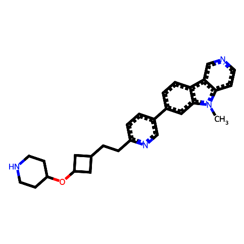 Cn1c2ccncc2c2ccc(-c3ccc(CCC4CC(OC5CCNCC5)C4)nc3)cc21